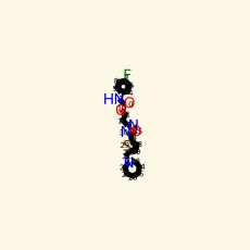 O=C(Nc1ccc(F)cc1)OCCc1noc(-c2ccc(CN3CCCCCC3)s2)n1